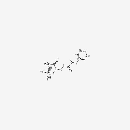 COC(=O)C(CCC(=O)OCc1ccccc1)CP(=O)(O)O